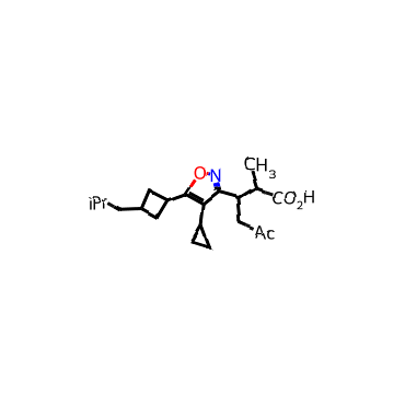 CC(=O)CC(c1noc(C2CC(CC(C)C)C2)c1C1CC1)C(C)C(=O)O